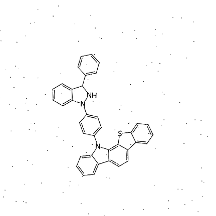 c1ccc(C2NN(c3ccc(-n4c5ccccc5c5ccc6c7ccccc7sc6c54)cc3)c3ccccc32)cc1